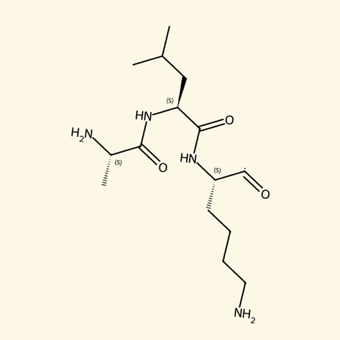 CC(C)C[C@H](NC(=O)[C@H](C)N)C(=O)N[C@H]([C]=O)CCCCN